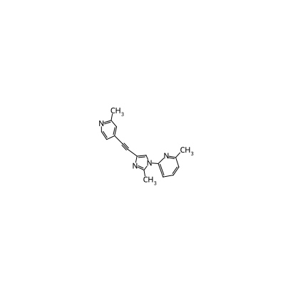 Cc1cc(C#Cc2cn(-c3cccc(C)n3)c(C)n2)ccn1